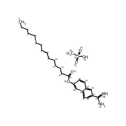 CCCCCCCCCCCCCCC(=O)Oc1ccc2cc(C(=N)N)ccc2c1.CS(=O)(=O)O